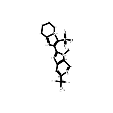 CCS(=O)(=O)c1c(-c2nc3cc(C(F)(F)C(F)(F)F)ncc3n2C)nc2n1CCCC2